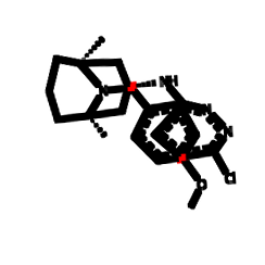 COc1ccc(CN2[C@@]3(C)CCC[C@]2(C)C[C@@H](Nc2ccc(Cl)nn2)C3)cc1